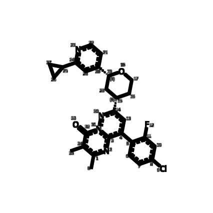 Cc1nc2c(-c3ccc(Cl)cc3F)cc([C@H]3CCO[C@@H](c4ccnc(C5CC5)c4)C3)nn2c(=O)c1C